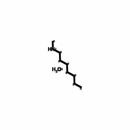 CCCCCCCNC.O